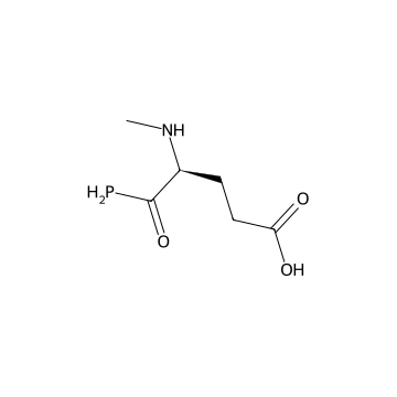 CN[C@@H](CCC(=O)O)C(=O)P